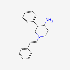 NC1CCN(C=Cc2ccccc2)CC1c1ccccc1